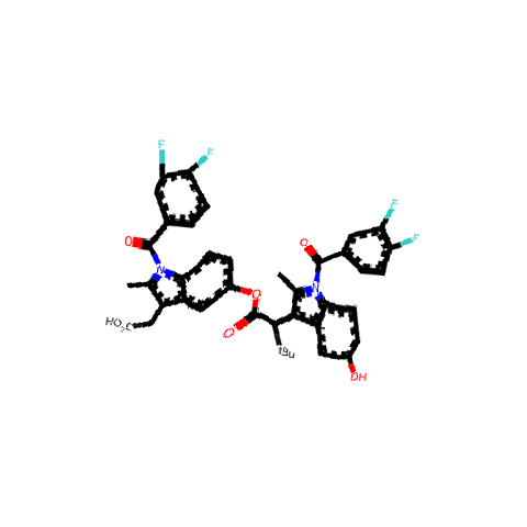 Cc1c(CC(=O)O)c2cc(OC(=O)C(c3c(C)n(C(=O)c4ccc(F)c(F)c4)c4ccc(O)cc34)C(C)(C)C)ccc2n1C(=O)c1ccc(F)c(F)c1